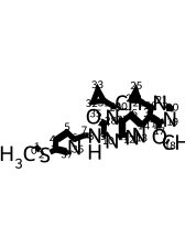 CCSc1ccc(CNc2nc3nnc(-c4c(OC)ncnc4C4CC4)cc3n(C(C)C3CC3)c2=O)nc1